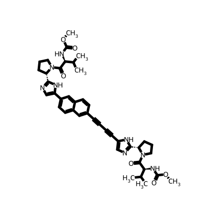 COC(=O)N[C@H](C(=O)N1CCC[C@H]1c1ncc(C#CC#Cc2ccc3cc(-c4cnc([C@@H]5CCCN5C(=O)[C@@H](NC(=O)OC)C(C)C)[nH]4)ccc3c2)[nH]1)C(C)C